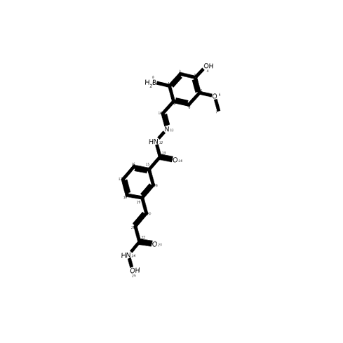 Bc1cc(O)c(OC)cc1/C=N/NC(=O)c1cccc(/C=C/C(=O)NO)c1